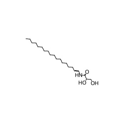 CCCCCCCCCCCCCCCCC=CNC(=O)C(O)CO